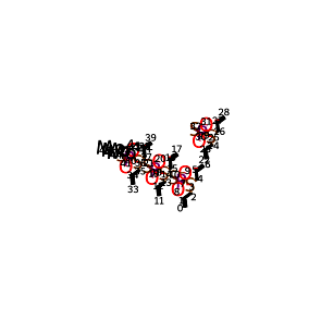 C=CCS(CC=C)=P([O-])([O-])[S-].C=CCS(CC=C)=P([O-])([O-])[S-].C=CCS(CC=C)=P([O-])([O-])[S-].C=CCS(CC=C)=P([O-])([O-])[S-].[Mo+4].[Mo+4].[Mo+4]